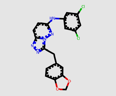 Clc1cc(Cl)cc(Nc2ccc3nnc(Cc4ccc5c(c4)OCO5)n3n2)c1